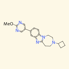 COc1ncc(-c2ccc3c(c2)nc2n3CCN(C3CCC3)CC2)cn1